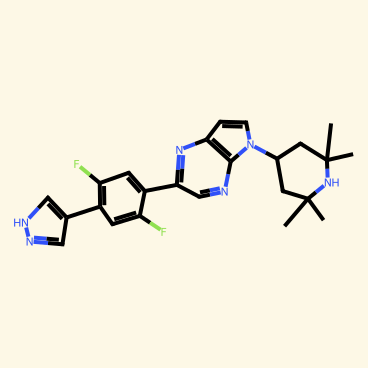 CC1(C)CC(n2ccc3nc(-c4cc(F)c(-c5cn[nH]c5)cc4F)cnc32)CC(C)(C)N1